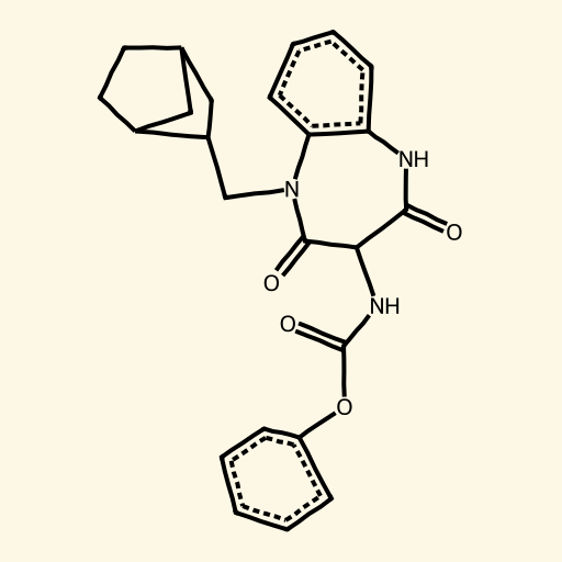 O=C(NC1C(=O)Nc2ccccc2N(CC2CC3CCC2C3)C1=O)Oc1ccccc1